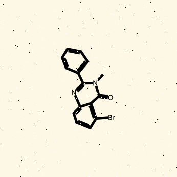 Cn1c(-c2ccccc2)nc2cccc(Br)c2c1=O